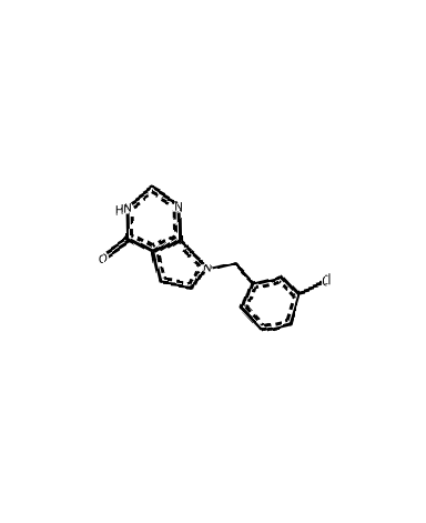 O=c1[nH]cnc2c1ccn2Cc1cccc(Cl)c1